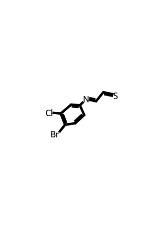 S=CC=Nc1ccc(Br)c(Cl)c1